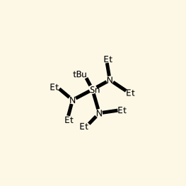 CC[N](CC)[Sn]([N](CC)CC)([N](CC)CC)[C](C)(C)C